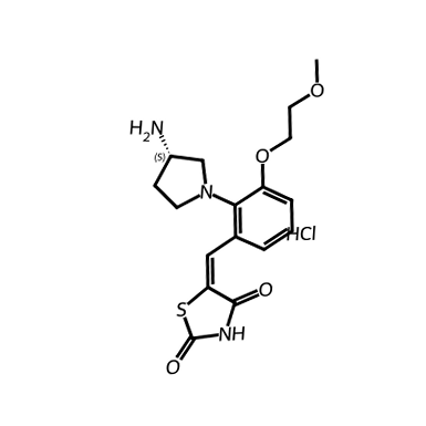 COCCOc1cccc(C=C2SC(=O)NC2=O)c1N1CC[C@H](N)C1.Cl